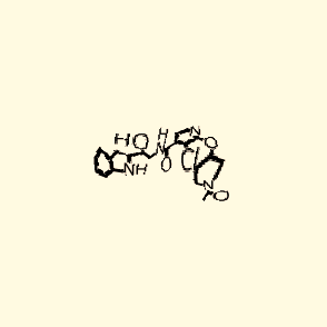 CC(=O)N1CCC(Oc2nccc(C(=O)NC[C@@H](O)[C@@H]3Cc4ccccc4CN3)c2Cl)CC1